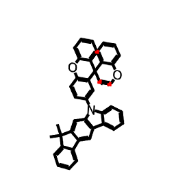 CC1(C)c2ccccc2-c2cc3c4ccccc4n(-c4ccc5c(c4)C4(c6ccccc6Oc6ccccc64)c4ccccc4O5)c3cc21